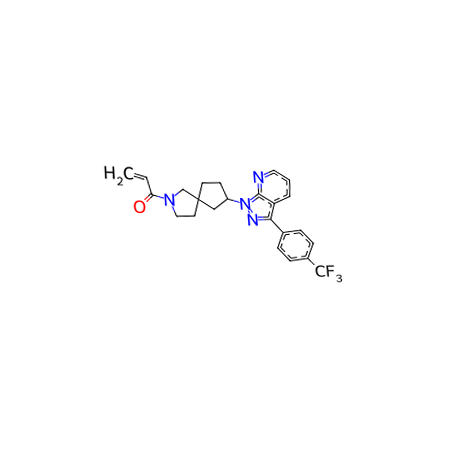 C=CC(=O)N1CCC2(CCC(n3nc(-c4ccc(C(F)(F)F)cc4)c4cccnc43)C2)C1